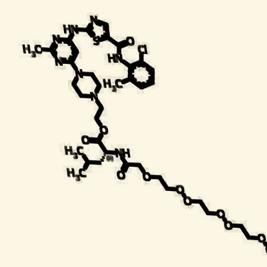 COCCOOCCOOCCOCC(=O)N[C@H](CC(C)C)C(=O)OCCN1CCN(c2cc(Nc3ncc(C(=O)Nc4c(C)cccc4Cl)s3)nc(C)n2)CC1